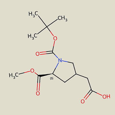 COC(=O)[C@@H]1CC(CC(=O)O)CN1C(=O)OC(C)(C)C